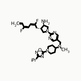 C=C/C(F)=C\C=C(\F)C[C@H]1CN(c2ncc(CN(C)C3CCN(c4nc(C(C)C)no4)CC3)cn2)C[C@@H]1N